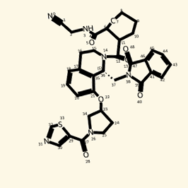 N#CCNC(=O)C1CCCCC1C(=O)N1CCc2cccc(OC3CCN(C(=O)c4cncs4)C3)c2[C@H]1CN1C(=O)c2ccccc2C1=O